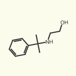 CC(C)(NCCO)c1ccccc1